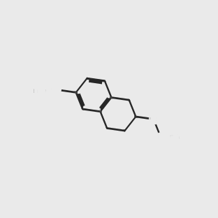 CCCCCOC1CCc2cc(CCCCC)ccc2C1